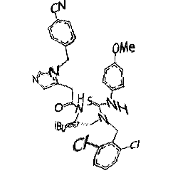 CC[C@H](C)[C@@H](CN(Cc1c(Cl)cccc1Cl)C(=S)Nc1ccc(OC)cc1)NC(=O)Cc1cncn1Cc1ccc(C#N)cc1